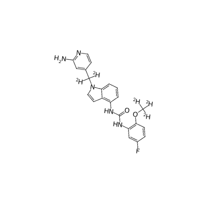 [2H]C([2H])([2H])Oc1ccc(F)cc1NC(=O)Nc1cccc2c1ccn2C([2H])([2H])c1ccnc(N)c1